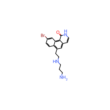 NCCCNCCc1cc2cc[nH]c(=O)c2c2cc(Br)ccc12